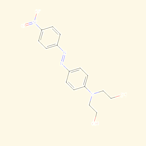 O=[N+]([O-])c1ccc(N=Nc2ccc(N(CCO)CCO)cc2)cc1